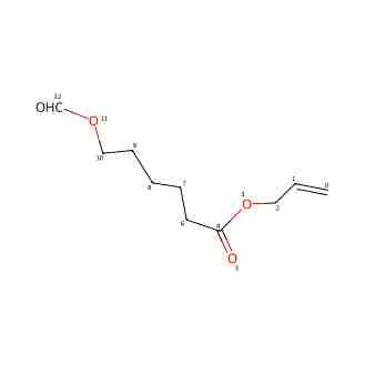 C=CCOC(=O)CCCCCOC=O